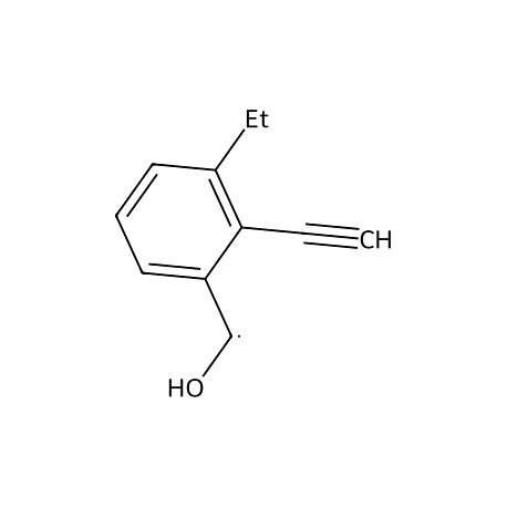 C#Cc1c([CH]O)cccc1CC